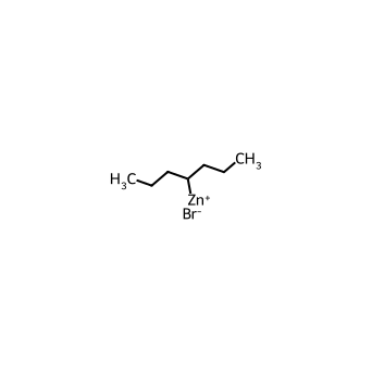 CCC[CH]([Zn+])CCC.[Br-]